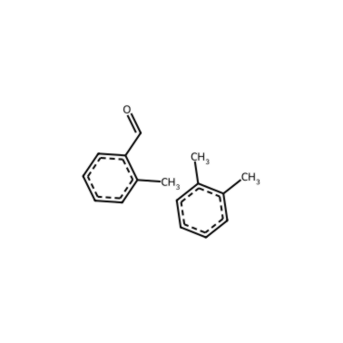 Cc1ccccc1C.Cc1ccccc1C=O